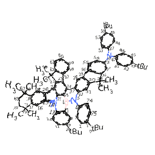 CC(C)(C)c1ccc(N2B3c4cc(C(C)(C)C)ccc4-n4c5cc6c(cc5c5c7c(c(c3c54)-c3cc4c(cc32)C(C)(C)c2cc(N(c3ccc(C(C)(C)C)cc3)c3ccc(C(C)(C)C)cc3)ccc2-4)-c2ccccc2C7(C)C)C(C)(C)CCC6(C)C)cc1